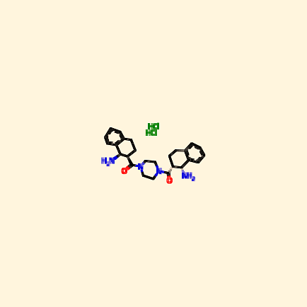 Cl.Cl.N[C@H]1c2ccccc2CC[C@H]1C(=O)N1CCN(C(=O)[C@@H]2CCc3ccccc3[C@@H]2N)CC1